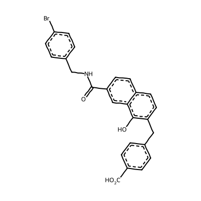 O=C(O)c1ccc(Cc2ccc3ccc(C(=O)NCc4ccc(Br)cc4)cc3c2O)cc1